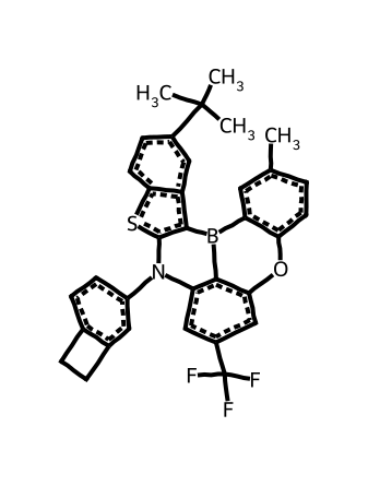 Cc1ccc2c(c1)B1c3c(cc(C(F)(F)F)cc3N(c3ccc4c(c3)CC4)c3sc4ccc(C(C)(C)C)cc4c31)O2